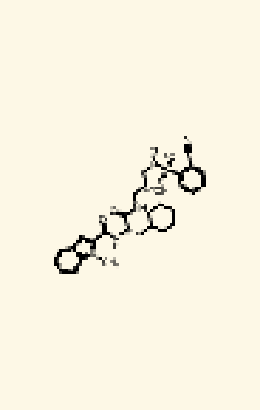 CN(C[C@H](O)CNC(=O)[C@H](CC1CCCCC1)NC(=O)c1cc2ccccc2n1C)S(=O)(=O)c1ccccc1C#N